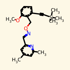 COc1cccc(C#C[Si](C)(C)C)c1CON=Cc1cc(C)cc(C)n1